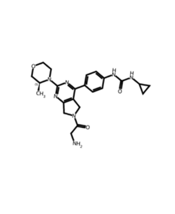 C[C@H]1COCCN1c1nc2c(c(-c3ccc(NC(=O)NC4CC4)cc3)n1)CN(C(=O)CN)C2